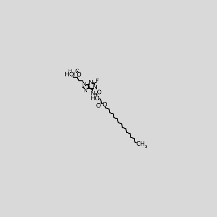 CCCCCCCCCCCCCCCCOC(=O)COC(=O)Nc1nc(F)nc2c1ncn2CCC(CO)OC